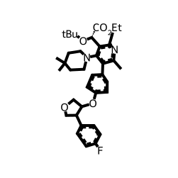 CCOC(=O)[C@@H](OC(C)(C)C)c1c(C)nc(C)c(-c2ccc(OC3COCC3c3ccc(F)cc3)cc2)c1N1CCC(C)(C)CC1